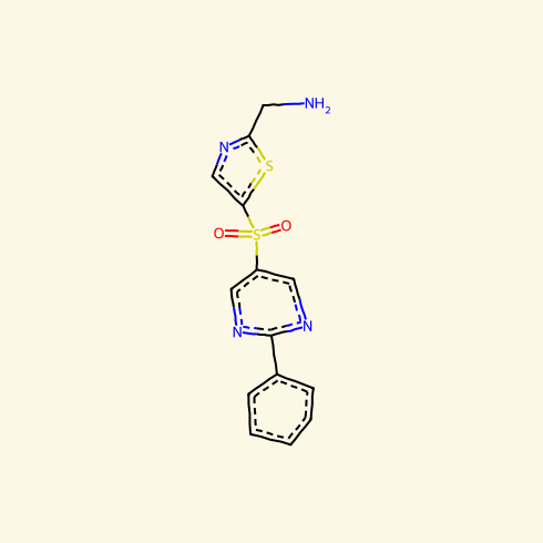 NCc1ncc(S(=O)(=O)c2cnc(-c3ccccc3)nc2)s1